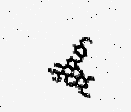 CCc1ccc(Cc2ccc(CO)cc2O[C@@H]2[C@@H](OC(=O)OC(C)C)[C@H](O)[C@@H](CO)O[C@H]2O)cc1